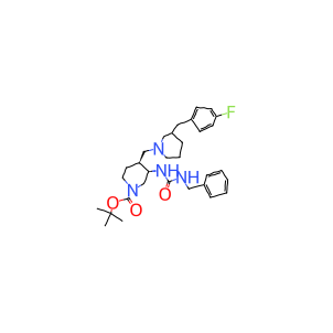 CC(C)(C)OC(=O)N1CC[C@@H](CN2CCCC(Cc3ccc(F)cc3)C2)[C@@H](NC(=O)NCc2ccccc2)C1